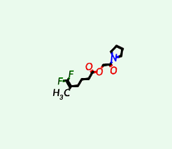 CC(CCCC(=O)OCC(=O)N1CCCC1)=C(F)F